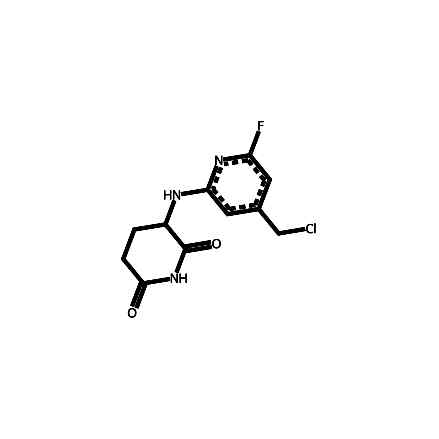 O=C1CCC(Nc2cc(CCl)cc(F)n2)C(=O)N1